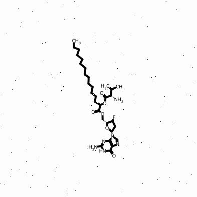 CCCCCCCCCCCCCCC(OC(=O)[C@@H](N)C(C)C)C(=O)OC[C@H]1O[C@@H](n2cnc3c(=O)[nH]c(N)nc32)CC1F